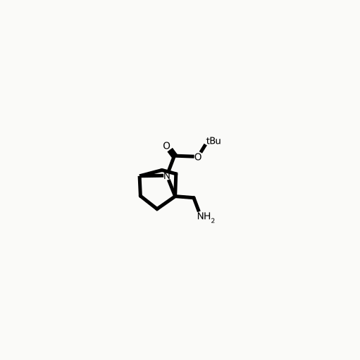 CC(C)(C)OC(=O)N1C2CCC1(CN)CC2